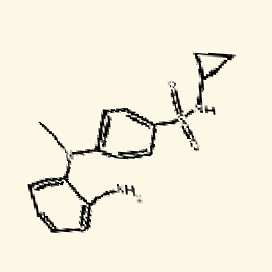 CN(c1ccc(S(=O)(=O)NC2CC2)cc1)c1ccccc1N